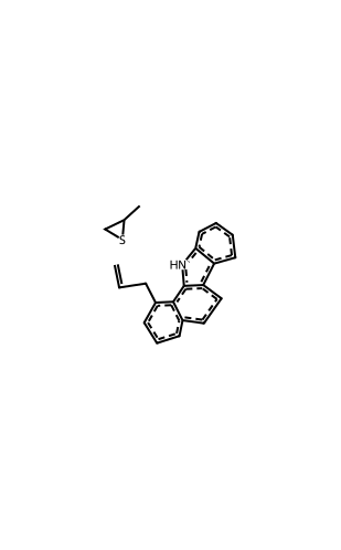 C=CCc1cccc2ccc3c4ccccc4[nH]c3c12.CC1CS1